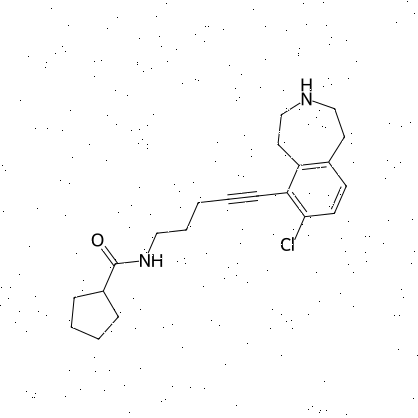 O=C(NCCCC#Cc1c(Cl)ccc2c1CCNCC2)C1CCCC1